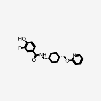 O=C(NC[C@H]1CC[C@@H](COc2ccccn2)CC1)c1ccc(O)c(F)c1